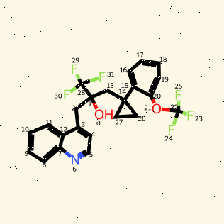 OC(Cc1ccnc2ccccc12)(CC1(c2ccccc2OC(F)(F)F)CC1)C(F)(F)F